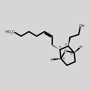 O=C(O)CCC/C=C\C[C@@H]1[C@@H](CCO)[C@@H]2CC[C@H]1O2